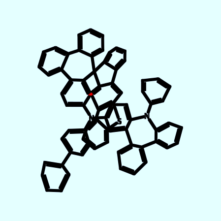 c1ccc(-c2ccc(N(c3ccc4c(c3)-c3ccccc3-c3ccccc3N4c3ccccc3)c3ccc4c(c3)C3(c5ccccc5-c5ccccc5-4)c4ccccc4-c4cc5sc6ccccc6c5cc43)cc2)cc1